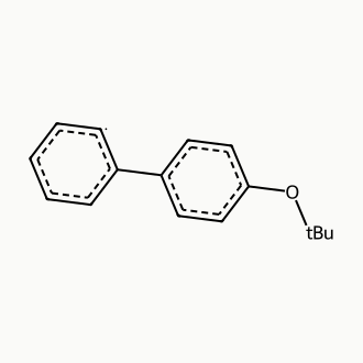 CC(C)(C)Oc1ccc(-c2[c]cccc2)cc1